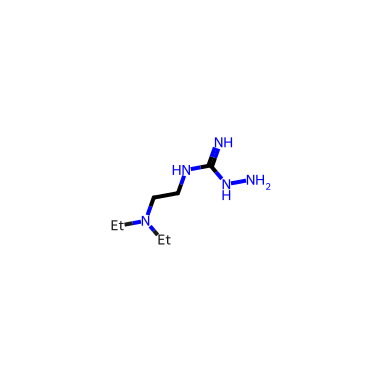 CCN(CC)CCNC(=N)NN